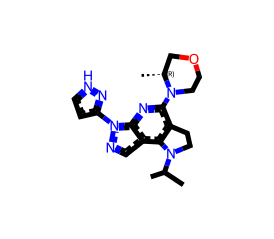 CC(C)N1CCc2c(N3CCOC[C@H]3C)nc3c(cnn3-c3cc[nH]n3)c21